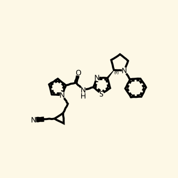 N#CC1CC1Cn1cccc1C(=O)Nc1nc([C@H]2CCCN2c2ccccc2)cs1